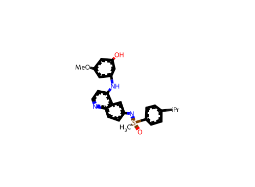 COc1cc(O)cc(Nc2ccnc3ccc(N=S(C)(=O)c4ccc(C(C)C)cc4)cc23)c1